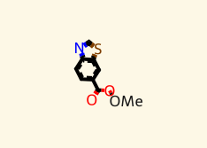 COOC(=O)c1ccc2ncsc2c1